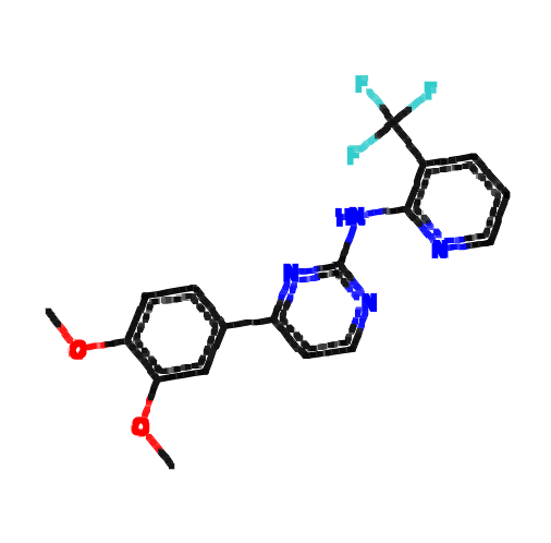 COc1ccc(-c2ccnc(Nc3ncccc3C(F)(F)F)n2)cc1OC